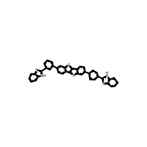 c1cc(-c2ccc3c(c2)sc2c4ccc(-c5ccc(-c6nc7ccccc7[nH]6)cc5)cc4sc32)cc(-c2nc3ccccc3[nH]2)c1